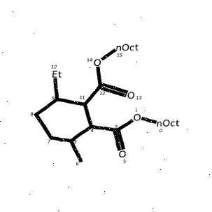 CCCCCCCCOC(=O)C1C(C)CCC(CC)C1C(=O)OCCCCCCCC